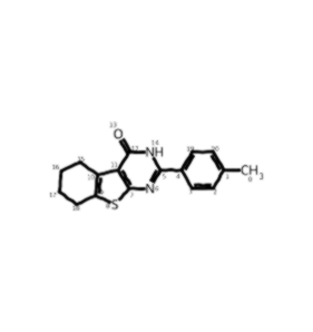 Cc1ccc(-c2nc3sc4c(c3c(=O)[nH]2)CCCC4)cc1